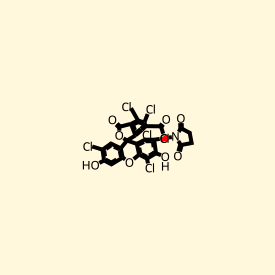 O=C(ON1C(=O)CCC1=O)c1c(Cl)c(Cl)c2c(c1Cl)C1(OC2=O)c2cc(Cl)c(O)cc2Oc2c1cc(Cl)c(O)c2Cl